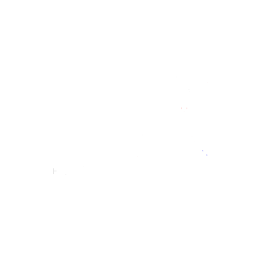 CC(C)=CC(C)=NOCOC(=O)C(C)Oc1ccc(Oc2ccc(C(F)(F)F)cc2)cc1